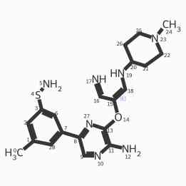 Cc1cc(SN)cc(-c2cnc(N)c(O/C(C=N)=C/NC3CCN(C)CC3)n2)c1